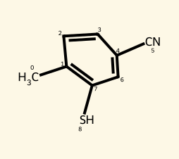 Cc1ccc(C#N)cc1S